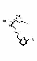 Cc1cccc(CNCCN[C@H](C(=O)O)[C@@H](C)CCC(C)(C)C)n1